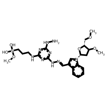 COC[C@H]1O[C@@H](n2cc(C=NNc3nc(NN)nc(NCCC[Si](O)(O)OC)n3)c3ccccc32)CC1OC